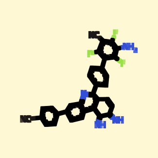 N#Cc1ccc(-c2ccc3c4c(c(-c5ccc(-c6c(F)c(N)c(F)c(C#N)c6F)cc5)nc3c2)C=CC(=N)C4=N)cc1